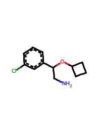 NCC(OC1CCC1)c1cccc(Cl)c1